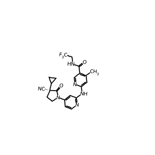 Cc1cc(Nc2cc(N3CC[C@@](C#N)(C4CC4)C3=O)ccn2)ncc1C(=O)NCC(F)(F)F